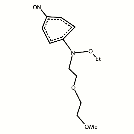 CCON(CCOCCOC)c1ccc(N=O)cc1